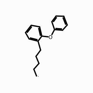 [CH2]CCCCc1ccccc1Oc1ccccc1